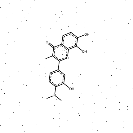 CN(C)c1ccc(-c2oc3c(O)c(O)ccc3c(=O)c2F)cc1O